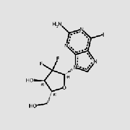 Nc1nc(I)c2ncn([C@@H]3O[C@H](CO)[C@@H](O)C3(F)F)c2n1